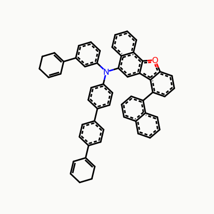 C1=CC(c2ccc(-c3ccc(N(c4cccc(C5=CCCC=C5)c4)c4cc5c(oc6cccc(-c7cccc8ccccc78)c65)c5ccccc45)cc3)cc2)=CCC1